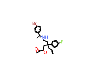 C=CCC(CCN[C@@H](C)c1ccc(Br)cc1)(CC(=O)C1CO1)c1ccc(F)cc1